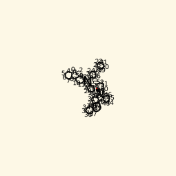 CC1(C)c2ccccc2-c2ccc(N(c3ccc(-c4ccccc4)cc3)c3ccc(-c4cc5c6ccccc6oc5c5c6ccccc6n(-c6ccccc6)c45)cc3)cc21